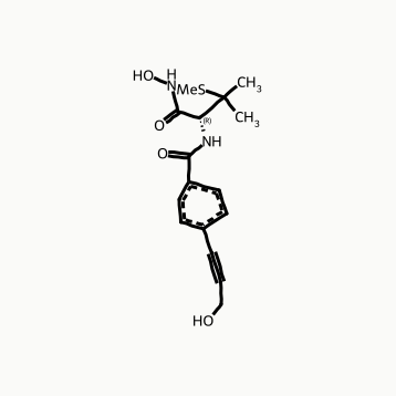 CSC(C)(C)[C@H](NC(=O)c1ccc(C#CCO)cc1)C(=O)NO